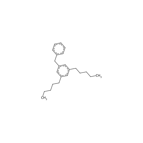 CCCCCc1cc(CCCCC)cc(Cc2ccccc2)c1